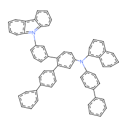 c1ccc(-c2ccc(-c3cc(N(c4ccc(-c5ccccc5)cc4)c4cccc5ccccc45)ccc3-c3cccc(-n4c5ccccc5c5ccccc54)c3)cc2)cc1